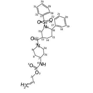 C=CCOC(=O)NC1CCN(C(=O)C2CCC(c3ccccc3)N(S(=O)(=O)c3ccccc3)C2)CC1